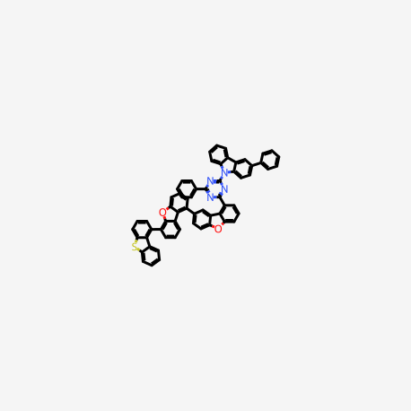 c1ccc(-c2ccc3c(c2)c2ccccc2n3-c2nc(-c3ccccc3)nc(-c3cccc4oc5ccc(-c6cccc7oc8c(-c9cccc%10sc%11ccccc%11c9%10)cccc8c67)cc5c34)n2)cc1